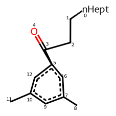 CCCCCCCCCC(=O)c1[c]c(C)cc(C)c1